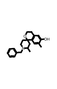 Cc1cc2c(cc1O)CCOC21CCN(Cc2ccccc2)C(C)C1